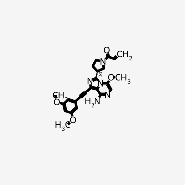 C=CC(=O)N1CC[C@H](c2nc(C#Cc3cc(OC)cc(OC)c3)c3c(N)ncc(OC)n23)C1